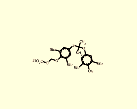 CCOC(=O)OCOc1c(C(C)(C)C)cc(SC(C)(C)Sc2cc(C(C)(C)C)c(O)c(C(C)(C)C)c2)cc1C(C)(C)C